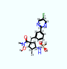 CON(C)C(=O)[C@@]1(Cc2cccc(-c3ncc(F)cn3)c2)C[C@H](C)[C@H](NS(C)(=O)=O)C1